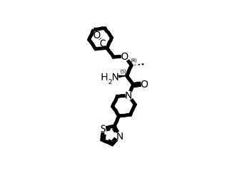 C[C@@H](OCC12CCC(CC1)OC2)[C@H](N)C(=O)N1CCC(c2nccs2)CC1